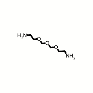 NCCOCOCOCCN